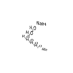 O.O.O.O.O.O.[Mn].[NaH]